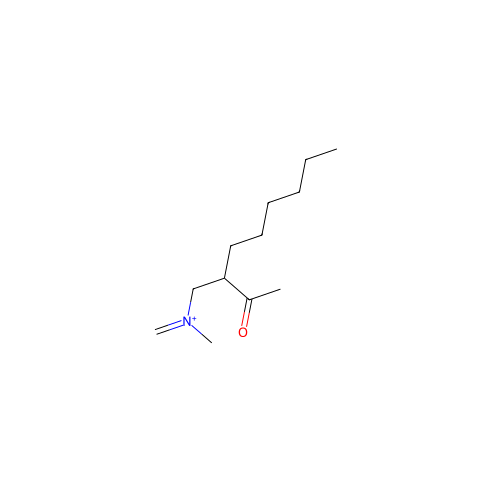 C=[N+](C)CC(CCCCCC)C(C)=O